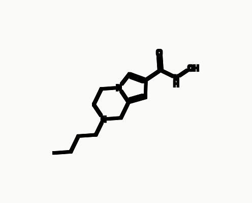 CCCCN1CCn2cc(C(=O)NO)cc2C1